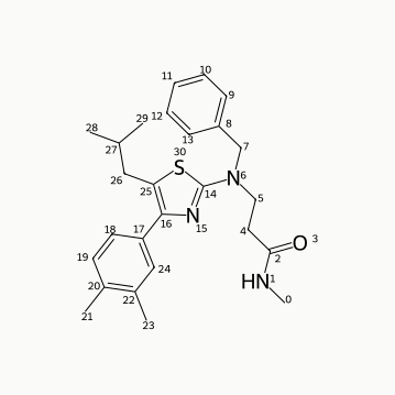 CNC(=O)CCN(Cc1ccccc1)c1nc(-c2ccc(C)c(C)c2)c(CC(C)C)s1